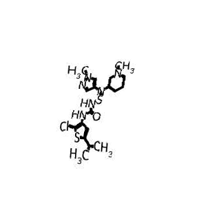 CC(C)c1cc(NC(=O)NSN(c2cnn(C)c2)C2CCCN(C)C2)c(Cl)s1